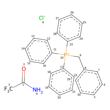 NC(=O)C(F)(F)F.[Cl-].c1ccc(C[P+](c2ccccc2)(c2ccccc2)c2ccccc2)cc1